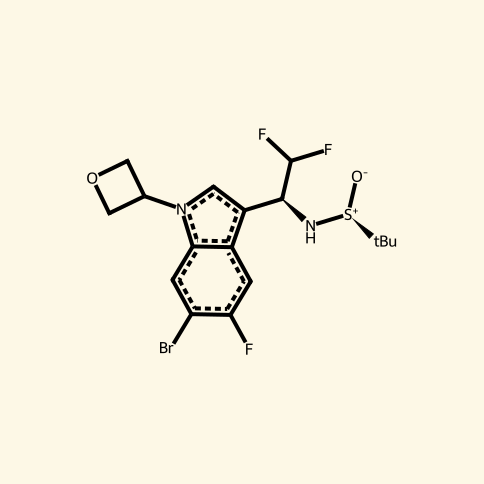 CC(C)(C)[S@+]([O-])N[C@@H](c1cn(C2COC2)c2cc(Br)c(F)cc12)C(F)F